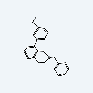 COc1cccc(-c2cccc3c2CN(Cc2ccccc2)CC3)c1